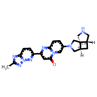 Cc1nc2ccc(-c3cc(=O)n4cc(N5C[C@@H]6C[C@H]7CNC[C@]76C5)ccc4n3)nn2n1